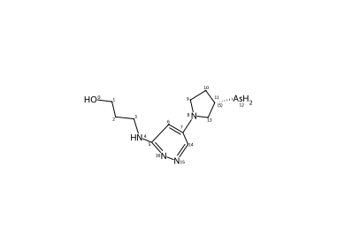 OCCCNc1cc(N2CC[C@H]([AsH2])C2)cnn1